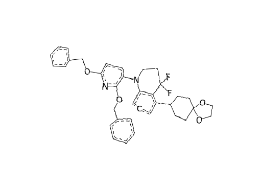 FC1(F)CCN(c2ccc(OCc3ccccc3)nc2OCc2ccccc2)c2cccc(C3CCC4(CC3)OCCO4)c21